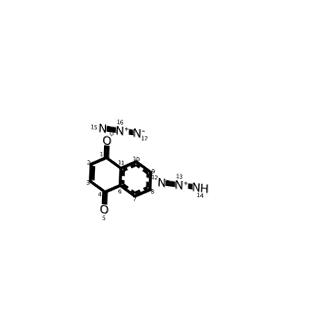 O=C1C=CC(=O)c2ccccc21.[N-]=[N+]=N.[N-]=[N+]=[N-]